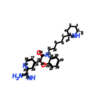 C[C@H]1CCC[C@@](C)(CCCCCN2C(=O)C(c3ccnc(C(=N)N)c3)Oc3ccccc32)N1